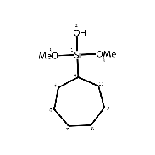 CO[Si](O)(OC)C1CCCCCC1